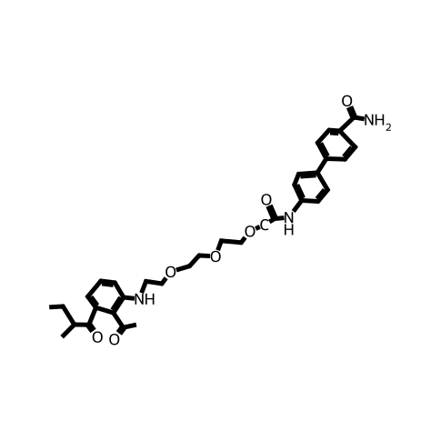 CCC(C)C(=O)c1cccc(NCCOCCOCCOCC(=O)Nc2ccc(-c3ccc(C(N)=O)cc3)cc2)c1C(C)=O